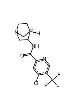 O=C(NC1CN2CC[C@H]1C2)c1cc(Cl)c(C(F)(F)F)cn1